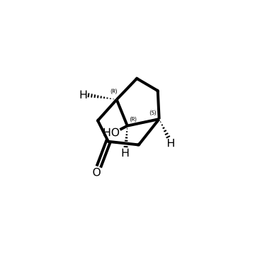 O=C1C[C@H]2CC[C@@H](C1)[C@H]2O